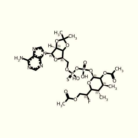 CC(=O)OC[C@H](F)C1O[C@@H](OP(=O)(O)OP(O)(=S)OC[C@H]2O[C@@H](n3cnc4c(N)ncnc43)[C@H]3OC(C)(C)OC23)C(OC(C)=O)[C@@H](C)[C@@H]1C